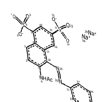 CC(=O)Nc1ccc2c(S(=O)(=O)[O-])cc(S(=O)(=O)[O-])cc2c1N=Nc1ccc([N+](=O)[O-])cc1.[Na+].[Na+]